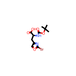 CC(C)(C)OC(=O)NC(Cc1coc(Br)n1)C(=O)O